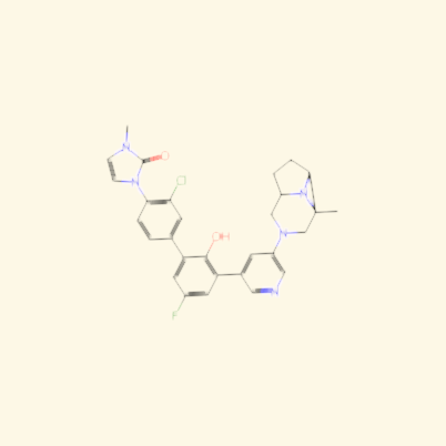 Cn1ccn(-c2ccc(-c3cc(F)cc(-c4cncc(N5CC6CCC7N6C7(C)C5)c4)c3O)cc2Cl)c1=O